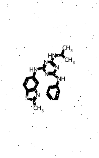 Cc1nc2cc(Nc3nc(Nc4ccccc4)nc(NC(C)C)n3)ccc2s1